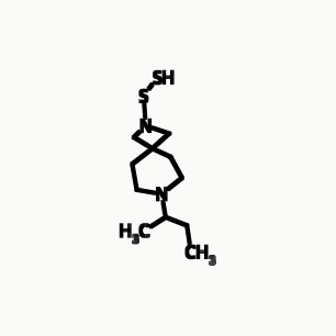 CCC(C)N1CCC2(CC1)CN(SS)C2